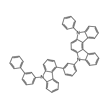 c1ccc(-c2cccc(-n3c4ccccc4c4c(-c5cccc(-n6c7ccccc7c7c8c9ccccc9n(-c9ccccc9)c8ccc76)c5)cccc43)c2)cc1